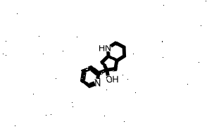 OC1(c2ccccn2)CC2CCCNC2C1